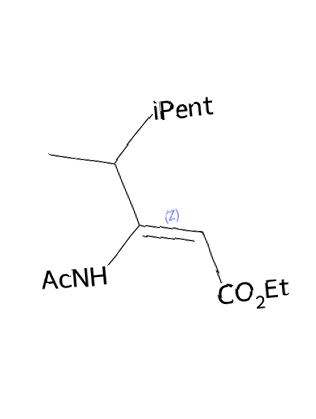 CCCC(C)C(C)/C(=C/C(=O)OCC)NC(C)=O